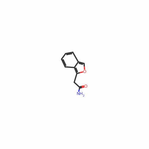 NC(=O)Cc1occ2ccccc12